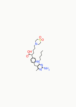 CCCCCNc1nc(N)nc(C)c1Cc1ccc(C(CCCCN2CCS(=O)(=O)CC2)C(=O)O)cc1